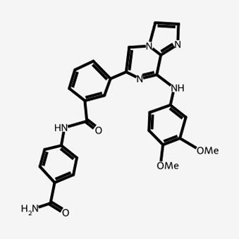 COc1ccc(Nc2nc(-c3cccc(C(=O)Nc4ccc(C(N)=O)cc4)c3)cn3ccnc23)cc1OC